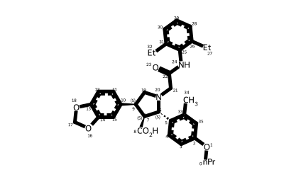 CCCOc1ccc([C@@H]2[C@@H](C(=O)O)[C@@H](c3ccc4c(c3)OCO4)CN2CC(=O)Nc2c(CC)cccc2CC)c(C)c1